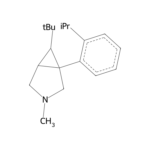 CC(C)c1ccccc1C12CN(C)CC1C2C(C)(C)C